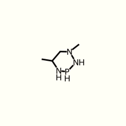 CC1CN(C)NPN1